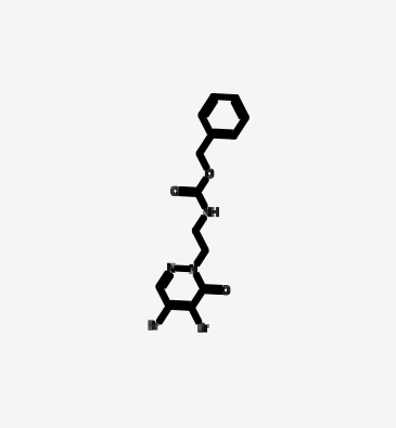 O=C(NCCn1ncc(Br)c(Br)c1=O)OCc1ccccc1